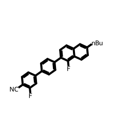 CCCCc1ccc2c(F)c(-c3ccc(-c4ccc(C#N)c(F)c4)cc3)ccc2c1